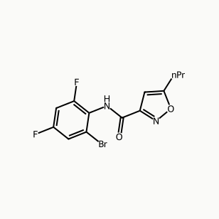 CCCc1cc(C(=O)Nc2c(F)cc(F)cc2Br)no1